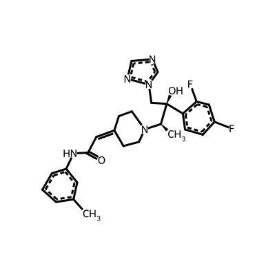 Cc1cccc(NC(=O)C=C2CCN([C@H](C)[C@](O)(Cn3cncn3)c3ccc(F)cc3F)CC2)c1